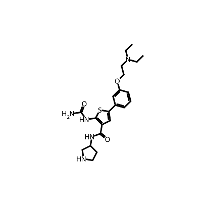 CCN(CC)CCOc1cccc(-c2cc(C(=O)NC3CCNC3)c(NC(N)=O)s2)c1